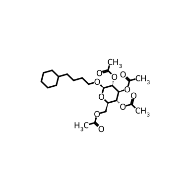 CC(=O)OC[C@H]1O[C@@H](OCCCCC2CCCCC2)[C@H](OC(C)=O)[C@@H](OC(C)=O)[C@@H]1OC(C)=O